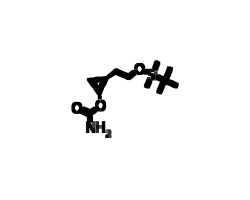 CC(C)(C)[Si](C)(C)OCC[C@@H]1C[C@H]1OC(N)=O